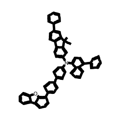 CC1(C)c2cc(-c3ccccc3)ccc2-c2ccc(N(c3ccc(-c4ccc(-c5cccc6c5oc5ccccc56)cc4)cc3)c3ccc(-c4ccccc4)c4ccccc34)cc21